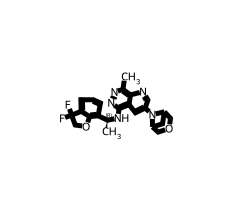 Cc1nnc(N[C@H](C)c2cccc3c2OCC3(F)F)c2cc(N3C4COCC3C4)cnc12